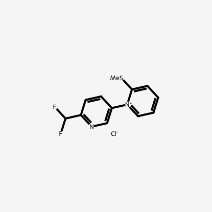 CSc1cccc[n+]1-c1ccc(C(F)F)nc1.[Cl-]